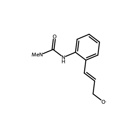 CNC(=O)Nc1ccccc1C=CC[O]